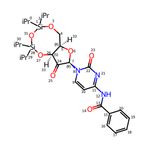 CC(C)[Si]1(C(C)C)OC[C@H]2O[C@@H](n3ccc(NC(=O)c4ccccc4)nc3=O)C(=O)[C@H]2O[Si](C(C)C)(C(C)C)O1